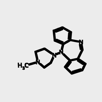 CN1CCN(N2c3ccccc3C=Nc3ccccc32)CC1